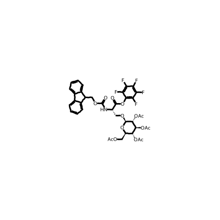 CC(=O)OC[C@H]1O[C@@H](OC[C@H](NC(=O)OCC2c3ccccc3-c3ccccc32)C(=O)Oc2c(F)c(F)c(F)c(F)c2F)[C@H](OC(C)=O)[C@@H](OC(C)=O)[C@@H]1OC(C)=O